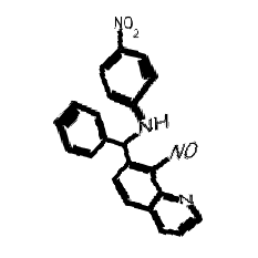 O=Nc1c(C(Nc2ccc([N+](=O)[O-])cc2)c2ccccc2)ccc2cccnc12